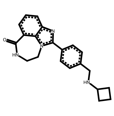 O=C1NCCn2c(-c3ccc(CNC4CCC4)cc3)nc3cccc1c32